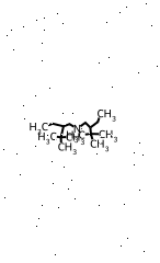 CCC(C[N]CC(CC)C(C)(C)C)C(C)(C)C